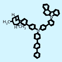 CC1C[C@H](C)C[C@]2(c3ccc(-c4ccc(N(c5ccc(-c6ccc(-c7ccccc7)cc6)cc5)c5ccc(-c6cccc(-n7c8ccccc8c8c9ccccc9ccc87)c6)cc5)cc4)cc3)C[C@@H](C1)C2